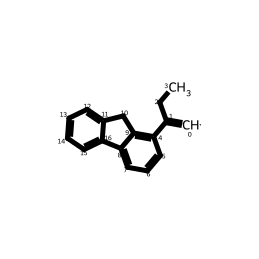 [CH]=C(CC)c1cccc2c1Cc1ccccc1-2